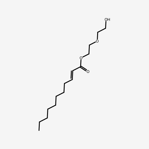 CCCCCCCCC=CC(=O)OCCOCCO